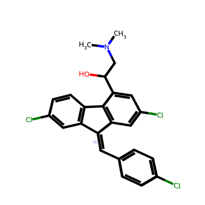 CN(C)CC(O)c1cc(Cl)cc2c1-c1ccc(Cl)cc1/C2=C/c1ccc(Cl)cc1